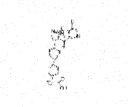 Cn1ncc(-c2ccc(-c3ccc(C4(C(=O)O)CC4)cc3)cn2)c1Nc1cncc(Cl)n1